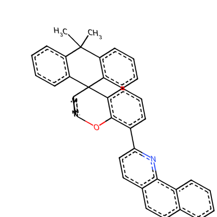 CC1(C)c2ccccc2C2(c3ccccc3Oc3c(-c4ccc5ccc6ccccc6c5n4)cccc32)c2ccccc21